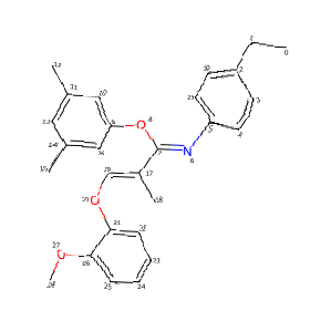 CCc1ccc(N=C(Oc2cc(C)cc(C)c2)/C(C)=C/Oc2ccccc2OC)cc1